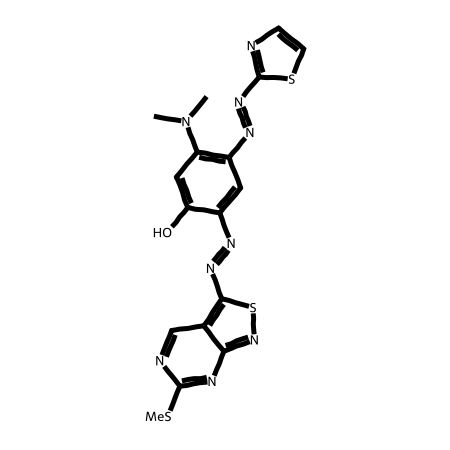 CSc1ncc2c(/N=N/c3cc(/N=N/c4nccs4)c(N(C)C)cc3O)snc2n1